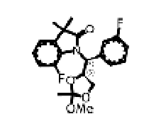 COC1(C)OC[C@H]([C@H](c2cccc(F)c2)N2C(=O)C(C)(C)c3cccc(F)c32)O1